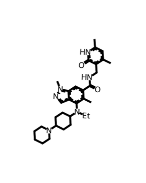 CCN(c1c(C)c(C(=O)NCc2c(C)cc(C)[nH]c2=O)cc2c1cnn2C)C1CCC(N2CCCCC2)CC1